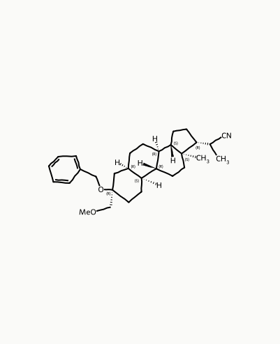 COC[C@@]1(OCc2ccccc2)CC[C@H]2[C@H](CC[C@@H]3[C@@H]2CC[C@]2(C)[C@@H](C(C)C#N)CC[C@@H]32)C1